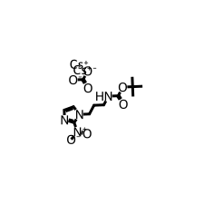 CC(C)(C)OC(=O)NCCCn1ccnc1[N+](=O)[O-].O=C([O-])[O-].[Cs+].[Cs+]